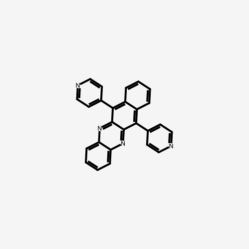 c1ccc2nc3c(-c4ccncc4)c4ccccc4c(-c4ccncc4)c3nc2c1